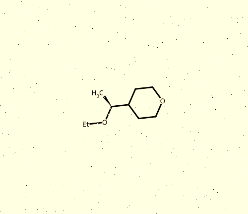 CCO[C@@H](C)C1CCOCC1